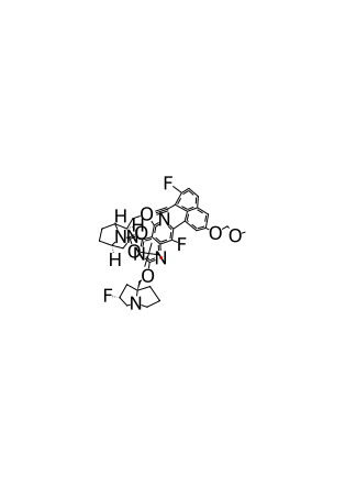 C#Cc1c(F)ccc2cc(OCOC)cc(-c3nc4c5c(nc(OC[C@@]67CCCN6C[C@H](F)C7)nc5c3F)N3C[C@H]5CC[C@@H]([C@H]3CO4)N5C(=O)OC(C)(C)C)c12